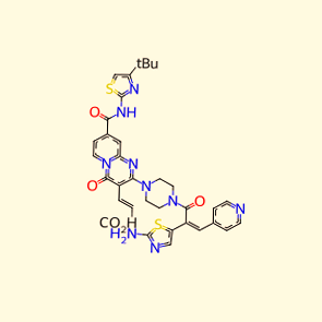 CC(C)(C)c1csc(NC(=O)c2ccn3c(=O)c(/C=C/C(=O)O)c(N4CCN(C(=O)/C(=C\c5ccncc5)c5cnc(N)s5)CC4)nc3c2)n1